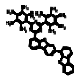 Bc1c(B)c(B)c(-c2nc(-c3c(B)c(B)c(B)c(B)c3B)nc(-c3cccc4c3oc3cc(-c5cccc6c5sc5ccccc56)ccc34)n2)c(B)c1B